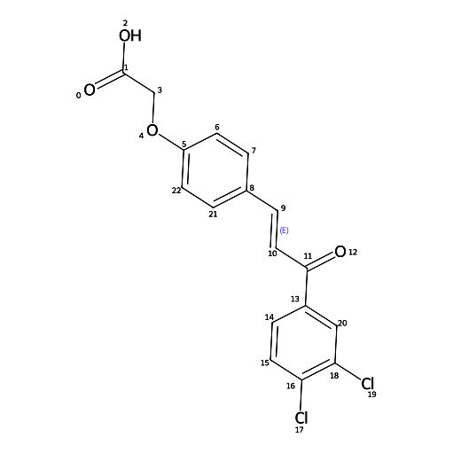 O=C(O)COc1ccc(/C=C/C(=O)c2ccc(Cl)c(Cl)c2)cc1